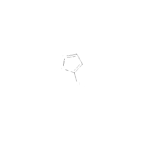 CC1=CC=[SH]O1